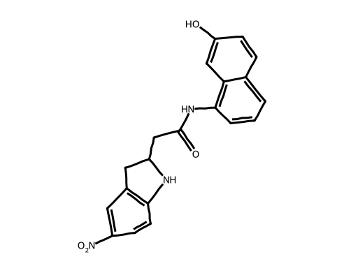 O=C(CC1Cc2cc([N+](=O)[O-])ccc2N1)Nc1cccc2ccc(O)cc12